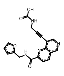 O=C(O)NCC#Cc1cncc2ccc(C(=O)NCc3ccco3)nc12